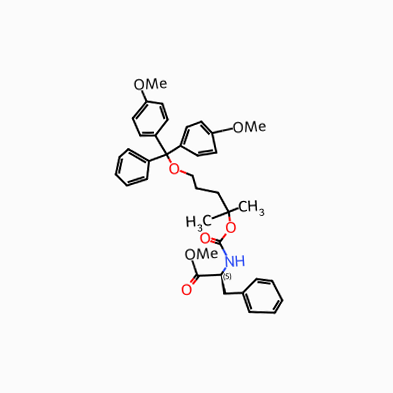 COC(=O)[C@H](Cc1ccccc1)NC(=O)OC(C)(C)CCCOC(c1ccccc1)(c1ccc(OC)cc1)c1ccc(OC)cc1